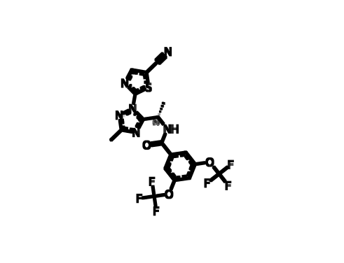 Cc1nc([C@H](C)NC(=O)c2cc(OC(F)(F)F)cc(OC(F)(F)F)c2)n(-c2ncc(C#N)s2)n1